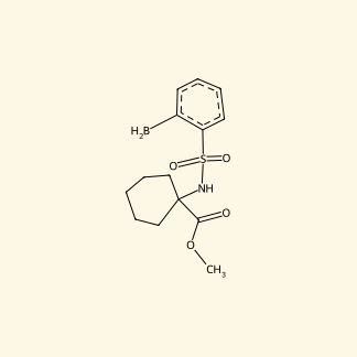 Bc1ccccc1S(=O)(=O)NC1(C(=O)OC)CCCCC1